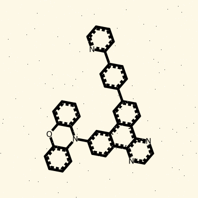 c1ccc(-c2ccc(-c3ccc4c(c3)c3cc(N5c6ccccc6Oc6ccccc65)ccc3c3nccnc43)cc2)nc1